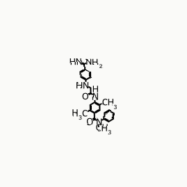 Cc1cc(C(=O)N(C)c2ccccc2)c(C)cc1NC(=O)CNc1ccc(C(=N)N)cc1